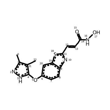 Cc1n[nH]c(Oc2ccc3nc(/C=C/C(=O)NO)sc3c2)c1C